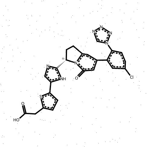 O=C(O)Cc1ccc(-c2cnc([C@@H]3CCc4cc(-c5cc(Cl)ccc5-n5cnnn5)cc(=O)n43)[nH]2)s1